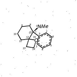 CN[C@]1(c2ccccc2)CCCCC12CCO2